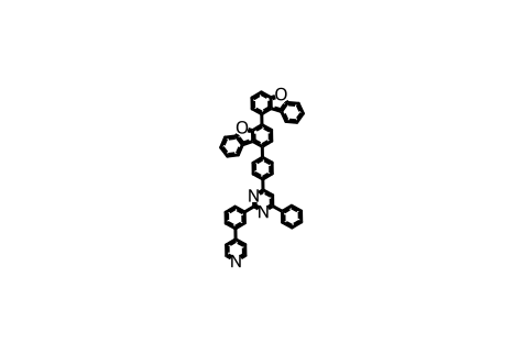 c1ccc(-c2cc(-c3ccc(-c4ccc(-c5cccc6oc7ccccc7c56)c5oc6ccccc6c45)cc3)nc(-c3cccc(-c4ccncc4)c3)n2)cc1